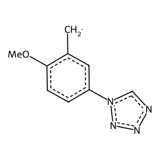 [CH2]c1cc(-n2cnnn2)ccc1OC